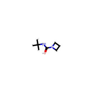 CC(C)(C)NC(=O)N1C[CH]C1